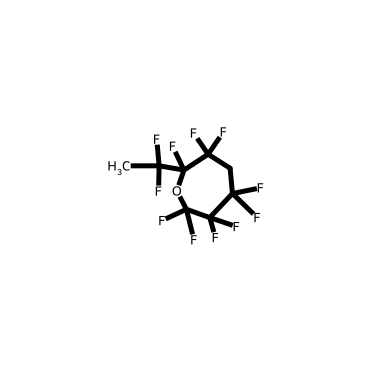 CC(F)(F)C1(F)OC(F)(F)C(F)(F)C(F)(F)CC1(F)F